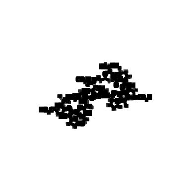 CC[C@H](C)[C@H](N)C(=O)N[C@@H](CCCCN)C(=O)N1CCC[C@H]1C(=O)N[C@@H](CCC(=O)O)C(=O)N[C@@H](C)C(=O)N1CCC[C@H]1C(=O)NCC(=O)N[C@@H](CCC(=O)O)C(=O)N[C@@H](CC(=O)O)C(=O)N[C@@H](C)C(=O)N[C@@H](CO)C(=O)N1CCC[C@H]1C(=O)N[C@@H](CCC(=O)O)C(=O)N[C@H](C)CCC(=O)O